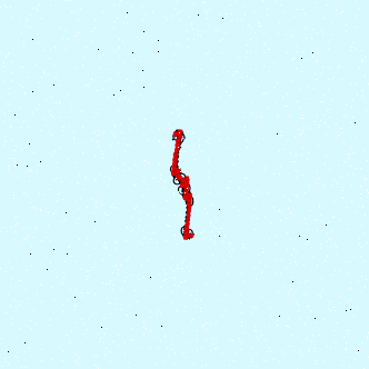 Cc1cc(OC(=O)c2ccc(OCCCCCCCCCCCCOC3CCCCO3)cc2)ccc1OC(=O)c1ccc(OCCCCCCCCCCCCOC2CCCCO2)cc1